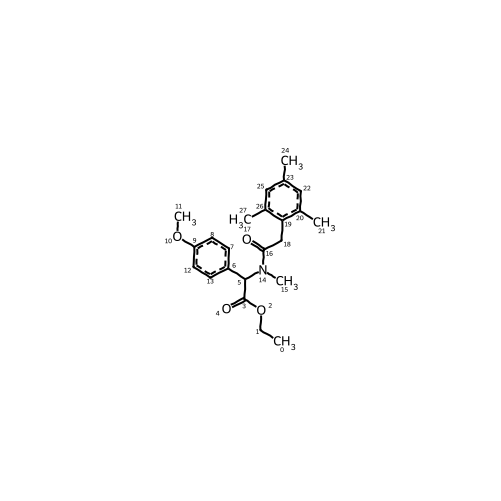 CCOC(=O)C(c1ccc(OC)cc1)N(C)C(=O)Cc1c(C)cc(C)cc1C